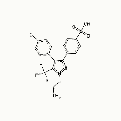 C=CCn1nc(-c2ccc(S(C)(=O)=O)cc2)c(-c2ccc(Cl)cc2)c1C(F)(F)F